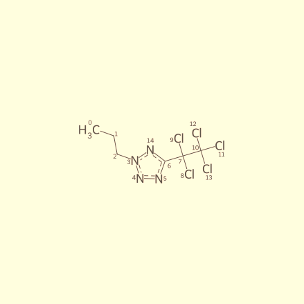 CCCn1nnc(C(Cl)(Cl)C(Cl)(Cl)Cl)n1